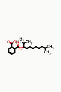 CC(C)CCCCCCC(OC(=O)C1CC=CCC1C(=O)O)C(C)C